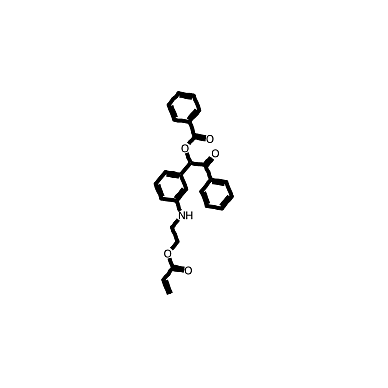 C=CC(=O)OCCNc1cccc(C(OC(=O)c2ccccc2)C(=O)c2ccccc2)c1